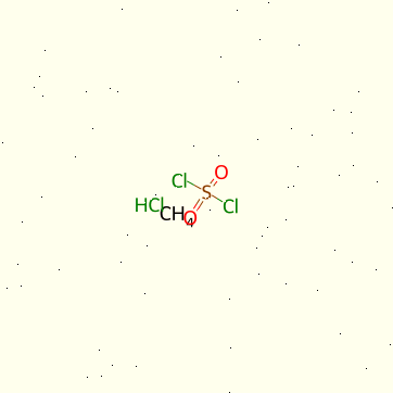 C.Cl.O=S(=O)(Cl)Cl